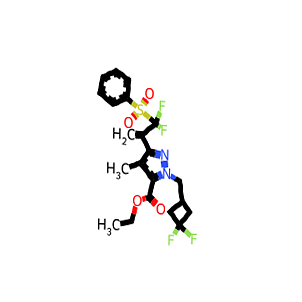 C=C(c1nn(CC2CC(F)(F)C2)c(C(=O)OCC)c1C)C(F)(F)S(=O)(=O)c1ccccc1